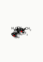 C=CCNC(=O)C(=O)C(CCC(F)(F)F)NC(=O)[C@@H]1[C@@H]2[C@H](CN1C(=O)[C@@H](NC(=O)NC1(CS(=O)(=O)C(C)(C)C)CCCCC1)C(C)(C)C)C2(C)C